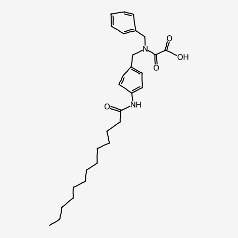 CCCCCCCCCCCCC(=O)Nc1ccc(CN(Cc2ccccc2)C(=O)C(=O)O)cc1